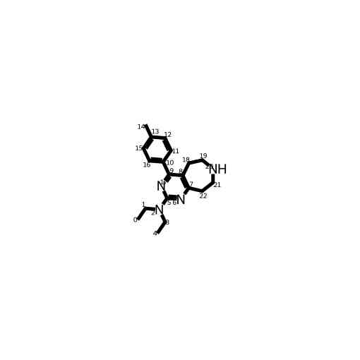 CCN(CC)c1nc2c(c(-c3ccc(C)cc3)n1)CCNCC2